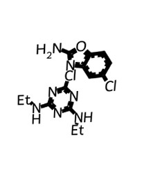 CCNc1nc(Cl)nc(NCC)n1.Nc1nc2cc(Cl)ccc2o1